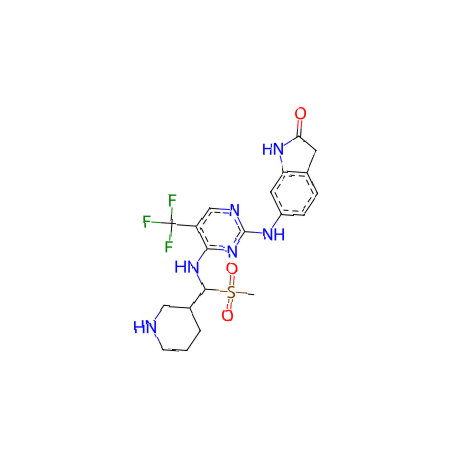 CS(=O)(=O)C(Nc1nc(Nc2ccc3c(c2)NC(=O)C3)ncc1C(F)(F)F)C1CCCNC1